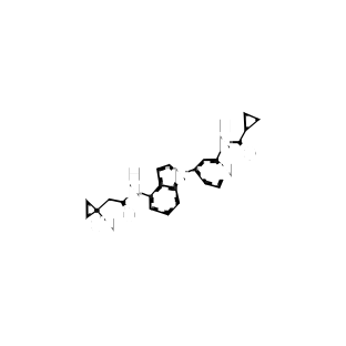 N#CC1(CC(=O)Nc2cccc3c2ccn3-c2ccnc(NC(=O)C3CC3)c2)CC1